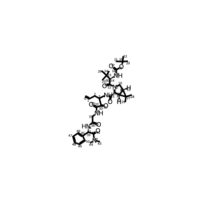 C=CCC(NC(=O)[C@@H]1[C@@H]2[C@H](CN1C(=O)[C@H](NC(=O)OC(C)(C)C)C(C)(C)C)C2(C)C)C(=O)C(=O)NCC(=O)N[C@H](C(=O)N(C)C)c1ccccc1